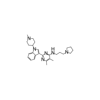 Cc1nc(-c2cn(C3CCN(C)CC3)c3ccccc23)nc(NCCCN2CCCC2)c1C